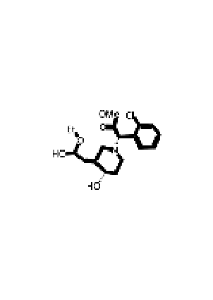 CCOC(O)/C=C1\CN([C@H](C(=O)OC)c2ccccc2Cl)CC[C@@H]1O